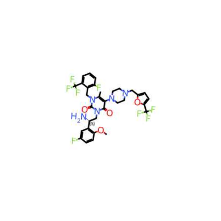 COc1ccc(F)cc1[C@H](N)Cn1c(=O)c(N2CCN(Cc3ccc(C(F)(F)F)o3)CC2)c(C)n(Cc2c(F)cccc2C(F)(F)F)c1=O